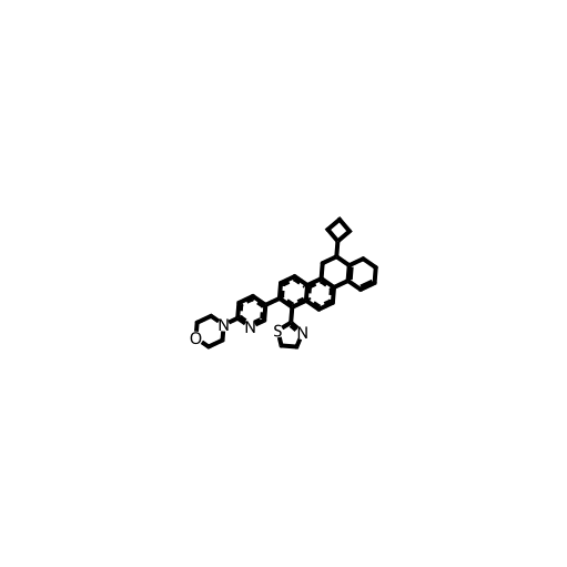 C1=CC2=C(CC1)C(C1CCC1)Cc1c2ccc2c(C3=NCCS3)c(-c3ccc(N4CCOCC4)nc3)ccc12